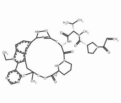 C=CC(=O)N1CC[C@H](C(=O)N(C)[C@H](C(=O)N[C@H]2CC3=NC(NO3)c3ccc4c(c3)c(c(-c3cncnc3)n4CC)CC(C)(C)COC(=O)[C@@H]3CCCN(N3)C2=O)C(C)C)C1